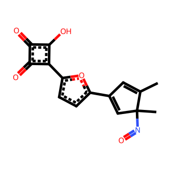 CC1=CC(c2ccc(-c3c(O)c(=O)c3=O)o2)=CC1(C)N=O